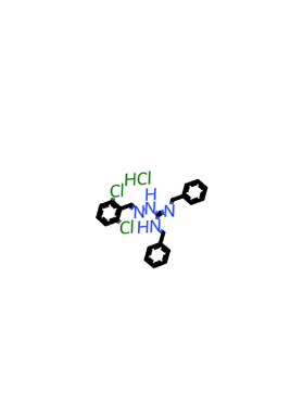 Cl.Clc1cccc(Cl)c1/C=N/N/C(=N\Cc1ccccc1)NCc1ccccc1